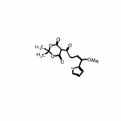 COC(CCC(=O)C1C(=O)OC(C)(C)OC1=O)c1cccs1